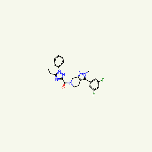 CCc1nc(C(=O)N2CCc3c(nn(C)c3-c3cc(F)cc(F)c3)C2)nn1-c1ccccc1